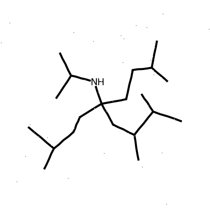 CC(C)CCC(CCC(C)C)(CC(C)C(C)C)NC(C)C